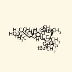 CC#CC(C)(C)C(C)[C@@H](/C=C/[C@@H]1[C@H]2C/C(=C/C(C)(C)C(C)(C)C(C)(C)C(=O)O)C[C@H]2C[C@H]1O[Si](C)(C)C(C)(C)C)O[Si](C)(C)C(C)(C)C